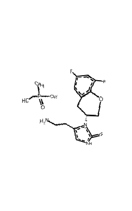 NCCc1c[nH]c(=S)n1[C@H]1COc2c(F)cc(F)cc2C1.O=P(O)(O)O